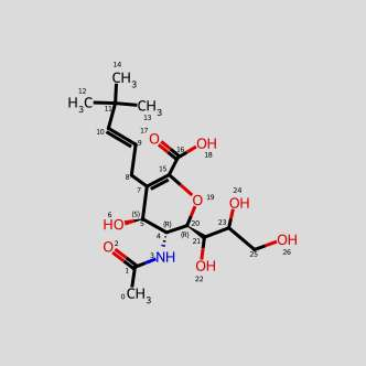 CC(=O)N[C@@H]1[C@@H](O)C(CC=CC(C)(C)C)=C(C(=O)O)O[C@H]1C(O)C(O)CO